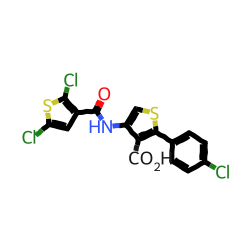 O=C(Nc1csc(-c2ccc(Cl)cc2)c1C(=O)O)c1cc(Cl)sc1Cl